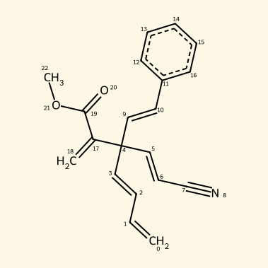 C=CC=CC(C=CC#N)(C=Cc1ccccc1)C(=C)C(=O)OC